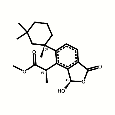 COC(=O)[C@H](C)c1c([C@@]2(C)CCCC(C)(C)C2)ccc2c1[C@H](O)OC2=O